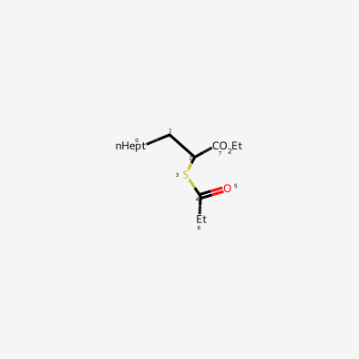 CCCCCCCCC(SC(=O)CC)C(=O)OCC